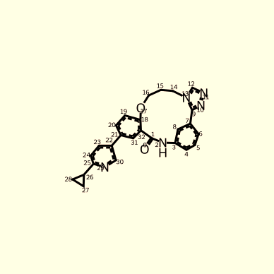 O=C1Nc2cccc(c2)-c2nncn2CCCOc2ccc(-c3ccc(C4CC4)nc3)cc21